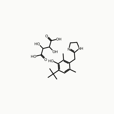 Cc1cc(C(C)(C)C)c(O)c(C)c1CC1=NCCN1.O=C(O)C(O)C(O)C(=O)O